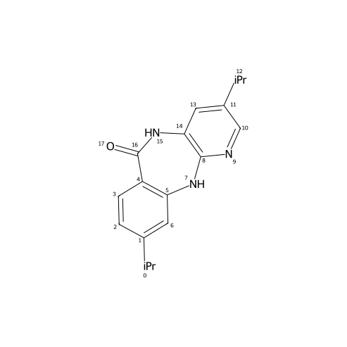 CC(C)c1ccc2c(c1)Nc1ncc(C(C)C)cc1NC2=O